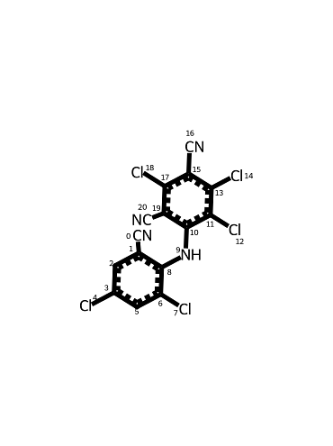 N#Cc1cc(Cl)cc(Cl)c1Nc1c(Cl)c(Cl)c(C#N)c(Cl)c1C#N